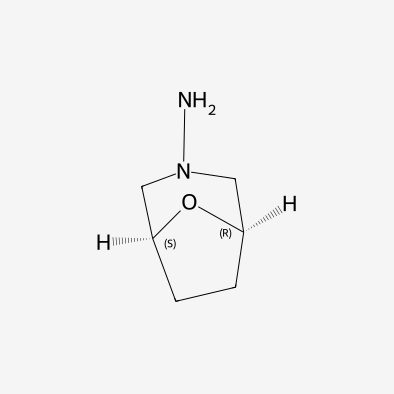 NN1C[C@H]2CC[C@@H](C1)O2